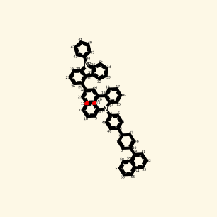 C1=CC(c2ccc(N(c3ccccc3)c3ccccc3-c3cccc(-c4cccc5c4c4ccccc4n5-c4ccccc4)c3)cc2)CC=C1c1cccc2ccccc12